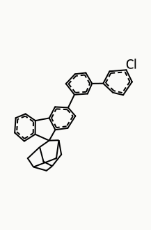 Clc1cccc(-c2cccc(-c3ccc4c(c3)-c3ccccc3C43C4CC5CC(C4)CC3C5)c2)c1